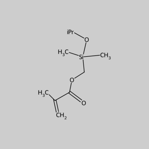 C=C(C)C(=O)OC[Si](C)(C)OC(C)C